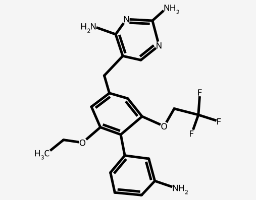 CCOc1cc(Cc2cnc(N)nc2N)cc(OCC(F)(F)F)c1-c1cccc(N)c1